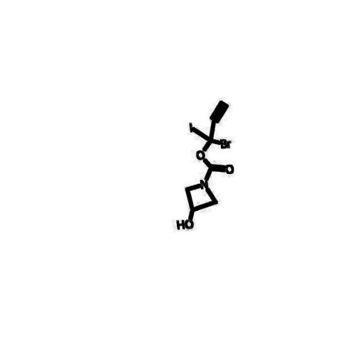 C#CC(Br)(I)OC(=O)N1CC(O)C1